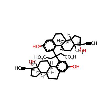 C#C[C@]1(O)CC[C@H]2[C@@H]3CCc4cc(O)cc(C(CC(=O)O)(CC(=O)O)c5cc(O)cc6c5[C@H]5CCC7(C)[C@@H](CC[C@@]7(O)C#C)[C@@H]5CC6)c4[C@H]3CCC21C